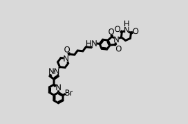 O=C1CCC(N2C(=O)c3ccc(NCCCCCC(=O)N4CCC(n5cc(-c6ccc7cccc(Br)c7n6)cn5)CC4)cc3C2=O)C(=O)N1